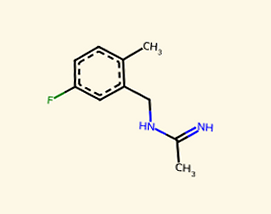 CC(=N)NCc1cc(F)ccc1C